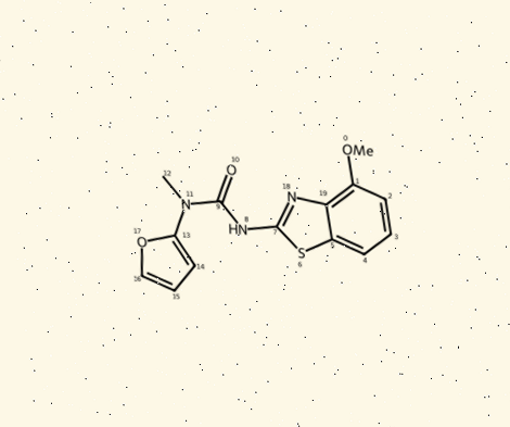 COc1cccc2sc(NC(=O)N(C)c3ccco3)nc12